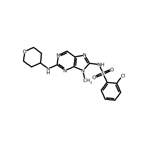 Cn1c(NS(=O)(=O)c2ccccc2Cl)nc2cnc(NC3CCOCC3)nc21